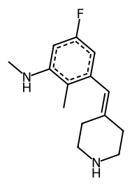 CNc1cc(F)cc(C=C2CCNCC2)c1C